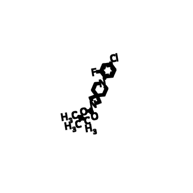 CC(C)(C)OC(=O)N1CC2(CCN(c3ccc(Cl)cc3F)CC2)C1